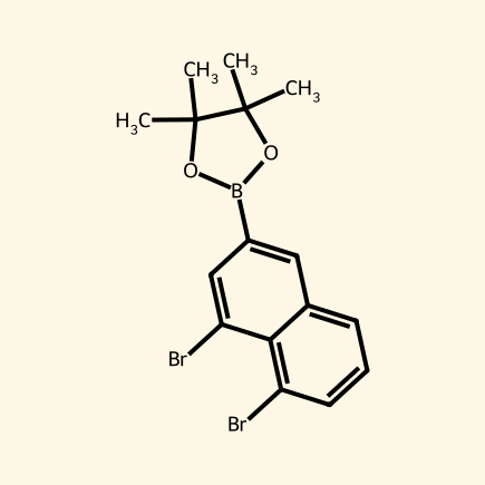 CC1(C)OB(c2cc(Br)c3c(Br)cccc3c2)OC1(C)C